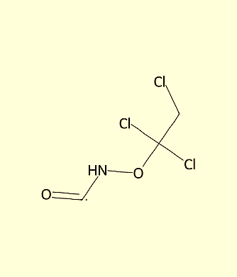 O=[C]NOC(Cl)(Cl)CCl